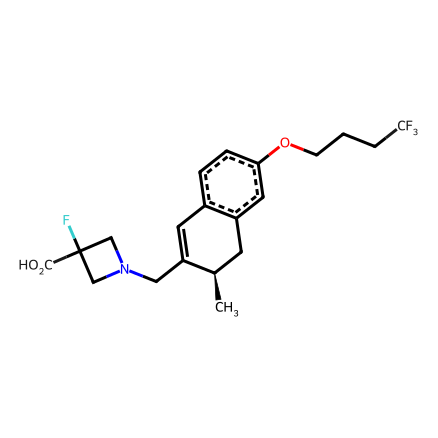 C[C@@H]1Cc2cc(OCCCC(F)(F)F)ccc2C=C1CN1CC(F)(C(=O)O)C1